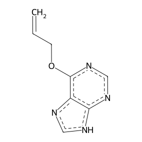 C=CCOc1ncnc2[nH]cnc12